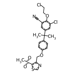 CC(C)(c1ccc(OCc2ncsc2S(C)(=O)=O)cc1)c1cc(Cl)c(OCCCl)c(C#N)c1